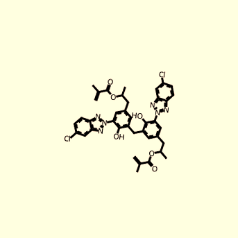 C=C(C)C(=O)OC(C)Cc1cc(Cc2cc(CC(C)OC(=O)C(=C)C)cc(-n3nc4ccc(Cl)cc4n3)c2O)c(O)c(-n2nc3ccc(Cl)cc3n2)c1